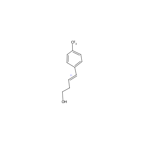 OCC/C=C/c1ccc(C(F)(F)F)cc1